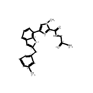 Cn1cc(-c2cccc3cc(Cc4cccc(C(F)(F)F)c4)sc23)nc1C(=O)NCC(N)=O